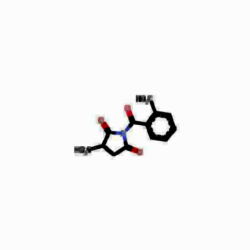 O=C(O)c1ccccc1C(=O)N1C(=O)CC(S(=O)(=O)O)C1=O